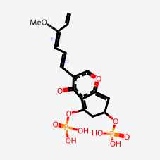 C=C/C(=C\C=C\c1coc2c(c1=O)=C(OP(=O)(O)O)CC(OP(=O)(O)O)C=2)OC